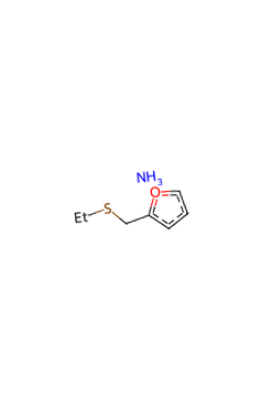 CCSCc1ccco1.N